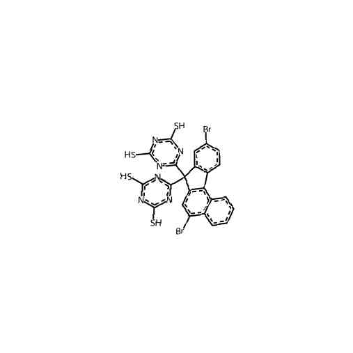 Sc1nc(S)nc(C2(c3nc(S)nc(S)n3)c3cc(Br)ccc3-c3c2cc(Br)c2ccccc32)n1